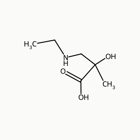 CCNCC(C)(O)C(=O)O